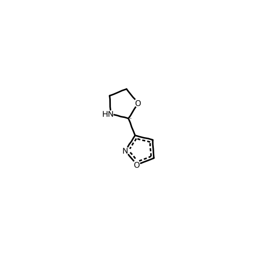 c1cc([C]2NCCO2)no1